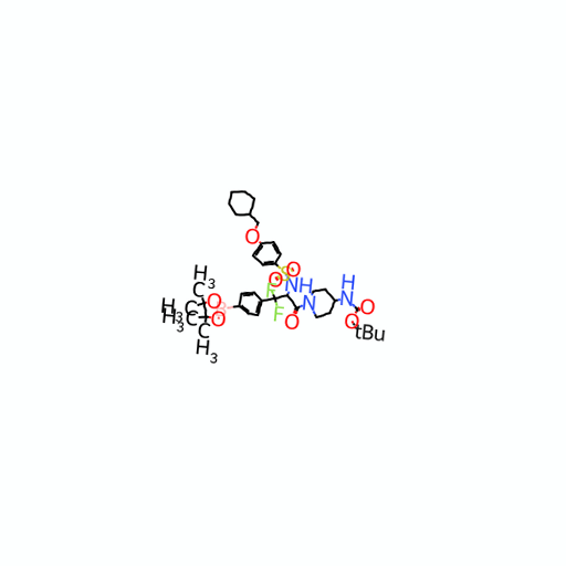 CC(C)(C)OC(=O)NC1CCN(C(=O)C(NS(=O)(=O)c2ccc(OCC3CCCCC3)cc2)C(F)(F)c2ccc(B3OC(C)(C)C(C)(C)O3)cc2)CC1